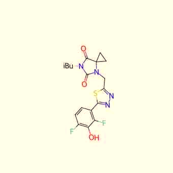 CC[C@@H](C)N1C(=O)N(Cc2nnc(-c3ccc(F)c(O)c3F)s2)C2(CC2)C1=O